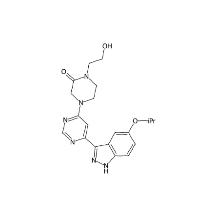 CC(C)Oc1ccc2[nH]nc(-c3cc(N4CCN(CCO)C(=O)C4)ncn3)c2c1